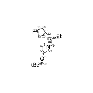 C=C(OCC1CCCN(CC2=C(C3c4ccc(F)cc43)C2CC)C1)C(C)(C)C